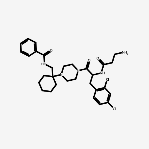 NCCC(=O)NC(Cc1ccc(Cl)cc1Cl)C(=O)N1CCN(C2(CNC(=O)c3ccccc3)CCCCC2)CC1